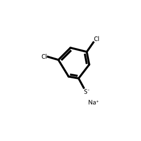 [Na+].[S-]c1cc(Cl)cc(Cl)c1